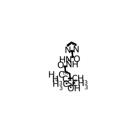 C[C@@H](CC(C)(C)[Si](C)(C)O)C(=O)NNC(=O)c1ncccn1